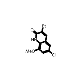 CCc1cc2cc(Cl)cc(OC)c2[nH]c1=O